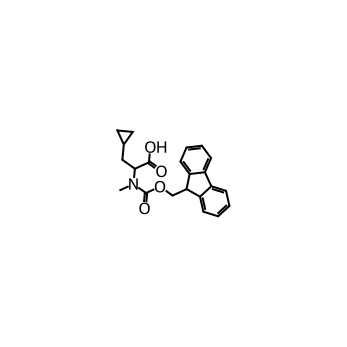 CN(C(=O)OCC1c2ccccc2-c2ccccc21)C(CC1CC1)C(=O)O